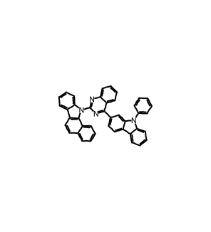 c1ccc(-n2c3ccccc3c3ccc(-c4nc(-n5c6ccccc6c6ccc7ccccc7c65)nc5ccccc45)cc32)cc1